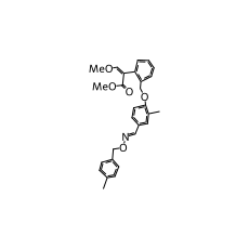 COC=C(C(=O)OC)c1ccccc1COc1ccc(C=NOCc2ccc(C)cc2)cc1C